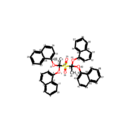 CC(Oc1cccc2ccccc12)(Oc1cccc2ccccc12)S(=O)(=O)C(C)(Oc1cccc2ccccc12)Oc1cccc2ccccc12